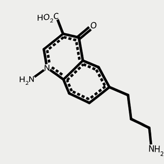 NCCCc1ccc2c(c1)c(=O)c(C(=O)O)cn2N